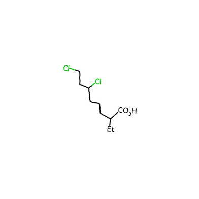 CCC(CCCC(Cl)CCCl)C(=O)O